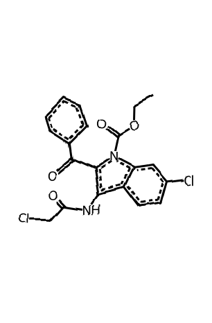 CCOC(=O)n1c(C(=O)c2ccccc2)c(NC(=O)CCl)c2ccc(Cl)cc21